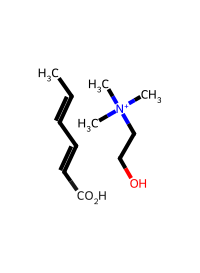 C/C=C/C=C/C(=O)O.C[N+](C)(C)CCO